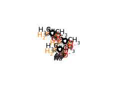 Cc1cc(C)c(S(=O)(=O)[O-])cc1P.Cc1cc(C)c(S(=O)(=O)[O-])cc1P.Cc1cc(C)c(S(=O)(=O)[O-])cc1P.[Na+].[Na+].[Na+]